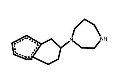 c1ccc2c(c1)CCC(N1CCCNCC1)C2